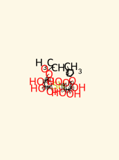 CC(C)C(=O)OC[C@H]1OC(S)[C@H](O)[C@@H](O)[C@@H]1O.Cc1ccc(O[C@@H]2O[C@H](CO)[C@@H](O)[C@H](O)[C@H]2O)cc1